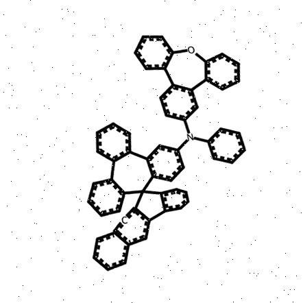 c1ccc(N(c2ccc3c(c2)-c2ccccc2Oc2ccccc2-3)c2ccc3c(c2)-c2ccccc2-c2ccccc2C32c3ccccc3-c3cc4ccccc4cc32)cc1